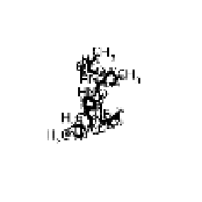 CCc1nonc1C(=O)N[C@H](C(=O)Nc1ccc([C@H](C)[C@@H](NC(=O)C(F)(F)C2CC2)C(=O)N2CCN(C)CC2)cc1F)[C@H]1CC[C@H](C)CC1